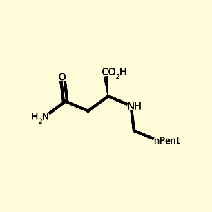 CCCCCCN[C@@H](CC(N)=O)C(=O)O